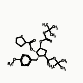 COc1ccc(C[C@@H]2[C@H](OC(=O)C3CCCS3)[C@@H](OC(=O)OC(C)(C)C)CN2C(=O)OC(C)(C)C)cc1